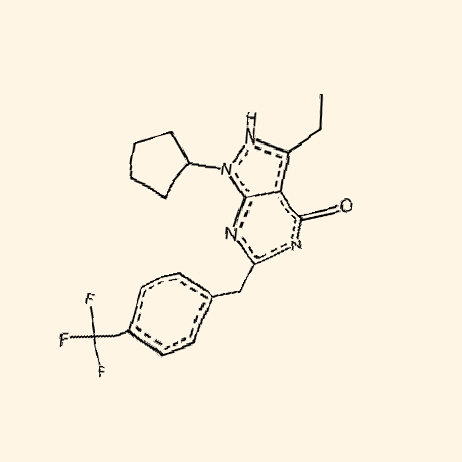 CCc1[nH]n(C2CCCC2)c2nc(Cc3ccc(C(F)(F)F)cc3)nc(=O)c1-2